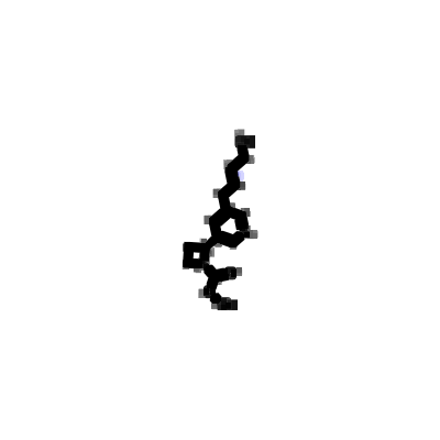 CC(C)(C)OC(=O)N1CC[C@H]1c1cncc(C/C=C/CO)c1